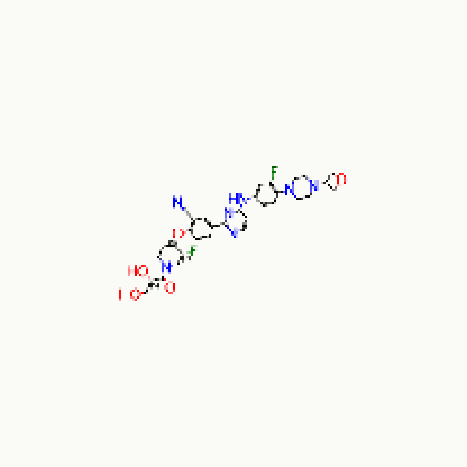 N#Cc1cc(-c2nccc(Nc3ccc(N4CCN(C5COC5)CC4)c(F)c3)n2)ccc1O[C@H]1CCN(C(=O)[C@@H](O)CO)C[C@H]1F